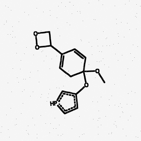 COC1(Oc2cc[pH]c2)C=CC(C2COO2)=CC1